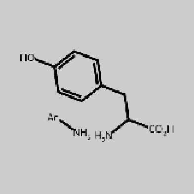 CC(N)=O.NC(Cc1ccc(O)cc1)C(=O)O